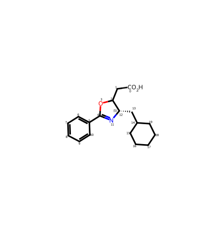 O=C(O)CC1OC(c2ccccc2)=N[C@H]1CC1CCCCC1